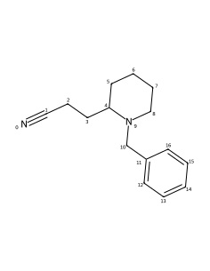 N#CCCC1CCCCN1Cc1ccccc1